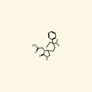 CN(C)[C@]1(c2ccccc2)CC[C@]2(CC1)CNC(=O)N2CC(=O)O